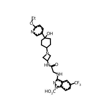 CCOc1ccc(C2(O)CCC(N3CC(NC(=O)CNc4nn(C(=O)O)c5ccc(C(F)(F)F)cc45)C3)CC2)cn1